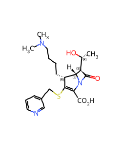 C[C@@H](O)[C@H]1C(=O)N2C(C(=O)O)=C(SCc3cccnc3)[C@H](CCCCN(C)C)[C@H]12